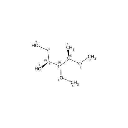 CO[C@H]([C@@H](O)CO)[C@@H](C)OC